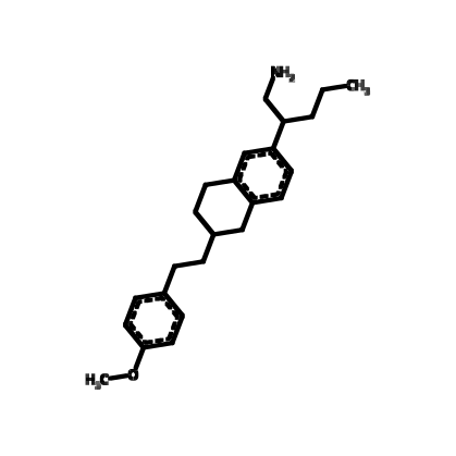 CCCC(CN)c1ccc2c(c1)CCC(CCc1ccc(OC)cc1)C2